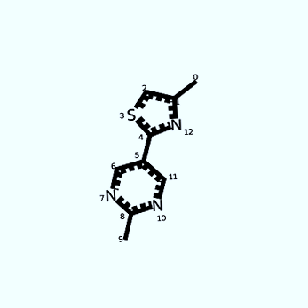 Cc1csc(-c2cnc(C)nc2)n1